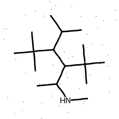 CNC(C)C(C(C(C)C)C(C)(C)C)C(C)(C)C